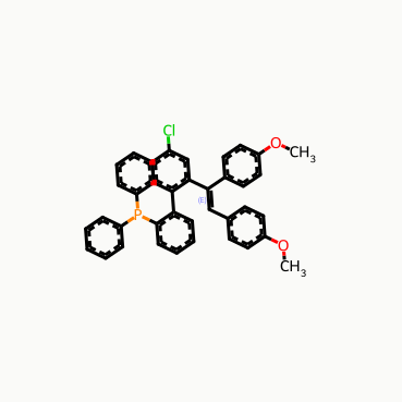 COc1ccc(/C=C(\c2ccc(OC)cc2)c2cc(Cl)ccc2-c2ccccc2P(c2ccccc2)c2ccccc2)cc1